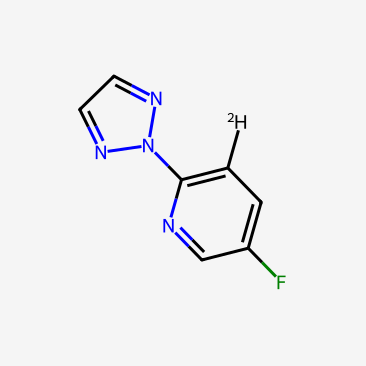 [2H]c1cc(F)cnc1-n1nccn1